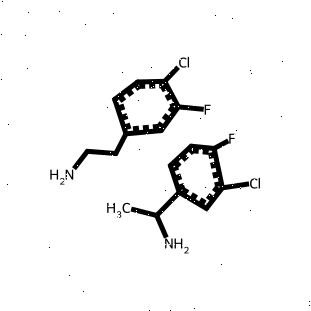 CC(N)c1ccc(F)c(Cl)c1.NCCc1ccc(Cl)c(F)c1